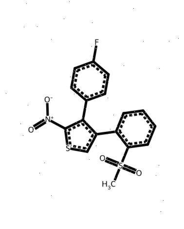 CS(=O)(=O)c1ccccc1-c1csc([N+](=O)[O-])c1-c1ccc(F)cc1